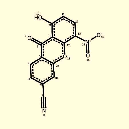 N#Cc1ccc2c(=O)c3c(O)ccc([N+](=O)[O-])c3oc2c1